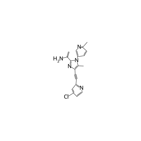 C=C(N)c1nc(C#Cc2cc(Cl)ccn2)c(C)n1-c1ccc(C)nc1